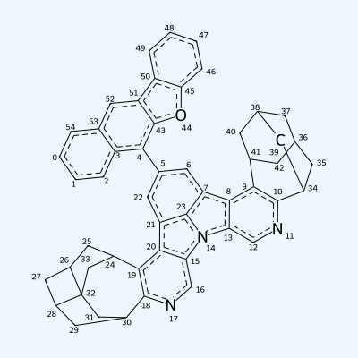 c1ccc2c(-c3cc4c5c6c(ncc5n5c7cnc8c(c7c(c3)c45)C3CC4CC5CC8CC54C3)C3CC4CC(C3)CC6C4)c3oc4ccccc4c3cc2c1